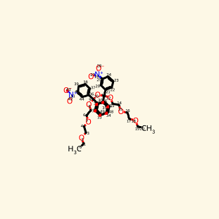 CCOCCOCCOC(OC(OCCOCCOCC)(c1cccc([N+](=O)[O-])c1)C1CCCCC1)(c1cccc([N+](=O)[O-])c1)C1CCCCC1